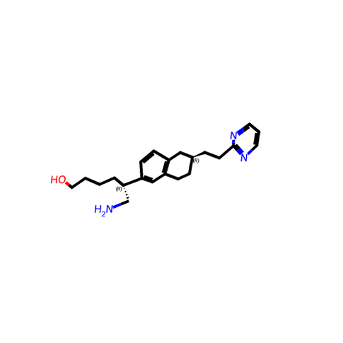 NC[C@H](CCCCO)c1ccc2c(c1)CC[C@H](CCc1ncccn1)C2